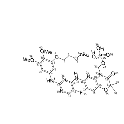 CCCCOCCOc1cc(Nc2ncc(F)c(Nc3ccc4c(n3)N(COP(=O)(O)O)C(=O)C(C)(C)O4)n2)cc(OC)c1OC